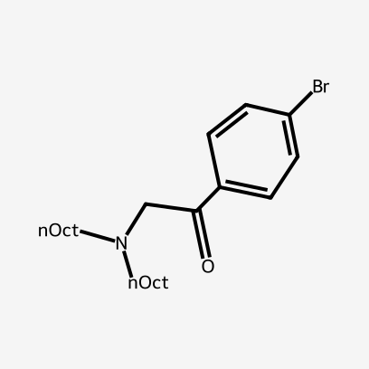 CCCCCCCCN(CCCCCCCC)CC(=O)c1ccc(Br)cc1